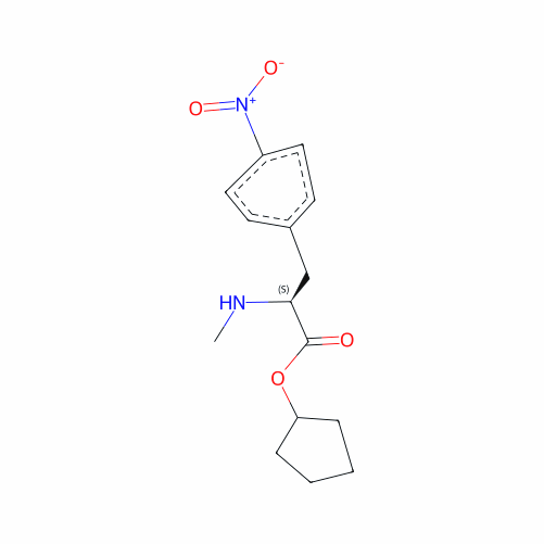 CN[C@@H](Cc1ccc([N+](=O)[O-])cc1)C(=O)OC1CCCC1